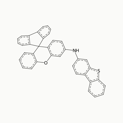 c1ccc2c(c1)Oc1cc(Nc3ccc4c(c3)sc3ccccc34)ccc1C21c2ccccc2-c2ccccc21